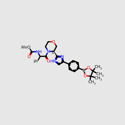 COC(=O)NC(C(=O)N1CCOC[C@H]1c1nc(-c2ccc(B3OC(C)(C)C(C)(C)O3)cc2)c[nH]1)C(C)C